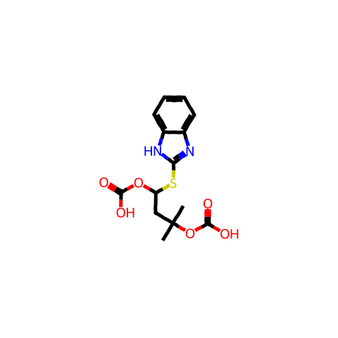 CC(C)(CC(OC(=O)O)Sc1nc2ccccc2[nH]1)OC(=O)O